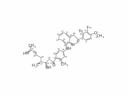 COc1ccc(C2=CN=C3/C(=C\C=C/C/C=C/3Nc3ccc(C(=O)CC(=N)[C@@H](C)C/C=C/C(C)=N)c(C)c3)C2)c(F)c1F